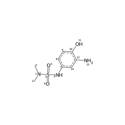 CN(C)S(=O)(=O)Nc1ccc(O)c(N)c1